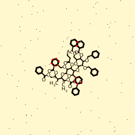 CC(=O)CCC(=O)OC1C(OC2OC(COCc3ccccc3)C(OC(=O)c3ccccc3)C(OCc3ccccc3)C2OCc2ccccc2)C(COC(=O)c2ccccc2)OC(OC(C(C)[C@@H](COC(=O)c2ccccc2)OC(=O)c2ccccc2)[C@@H](C)OC(=O)c2ccccc2)C1OCc1ccccc1